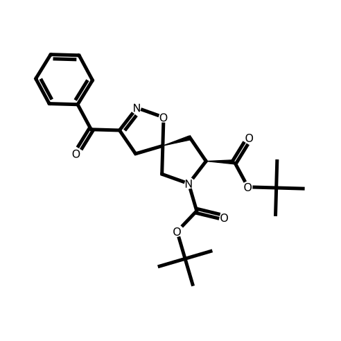 CC(C)(C)OC(=O)[C@@H]1C[C@]2(CC(C(=O)c3ccccc3)=NO2)CN1C(=O)OC(C)(C)C